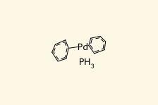 P.c1cc[c]([Pd][c]2ccccc2)cc1